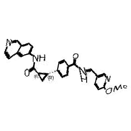 COc1ccc(CNC(=O)c2ccc([C@@H]3C[C@H]3C(=O)Nc3ccc4cnccc4c3)cc2)cn1